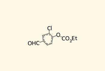 CCOC(=O)Oc1ccc(C=O)cc1Cl